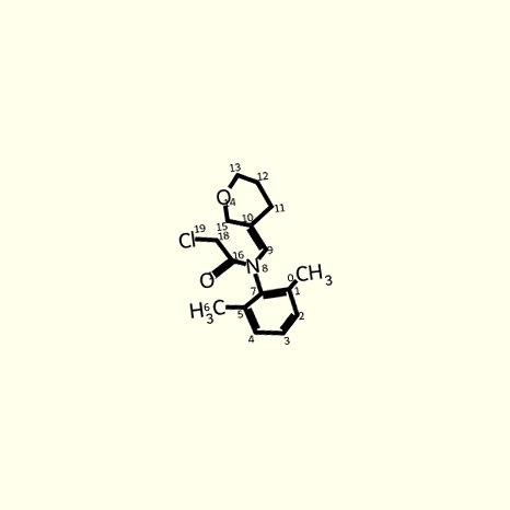 Cc1cccc(C)c1N(C=C1CCCOC1)C(=O)CCl